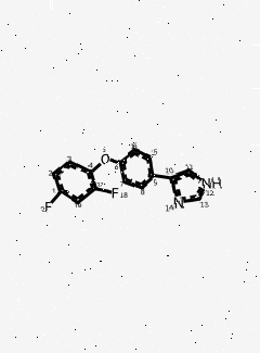 Fc1ccc(Oc2ccc(-c3c[nH]cn3)cc2)c(F)c1